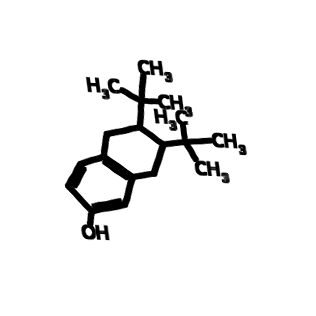 CC(C)(C)C1Cc2ccc(O)cc2CC1C(C)(C)C